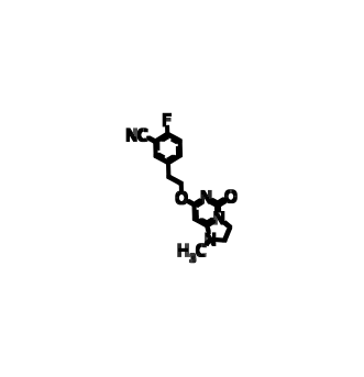 CN1CCn2c1cc(OCCc1ccc(F)c(C#N)c1)nc2=O